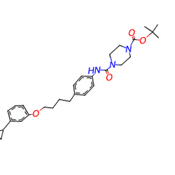 CC(C)(C)OC(=O)N1CCN(C(=O)Nc2ccc(CCCCOc3cccc(C4CC4)c3)cc2)CC1